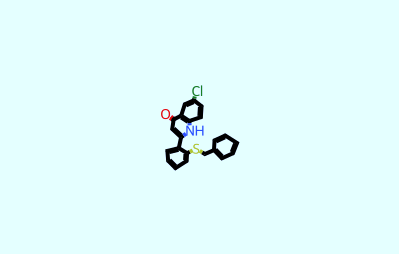 O=c1cc(-c2ccccc2SCc2ccccc2)[nH]c2ccc(Cl)cc12